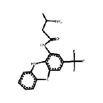 CC(N)CC(=O)Nc1cc(C(F)(F)F)cc2c1Nc1ccccc1S2